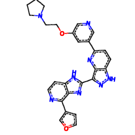 c1cc2[nH]c(-c3n[nH]c4ccc(-c5cncc(OCCN6CCCC6)c5)nc34)nc2c(-c2ccoc2)n1